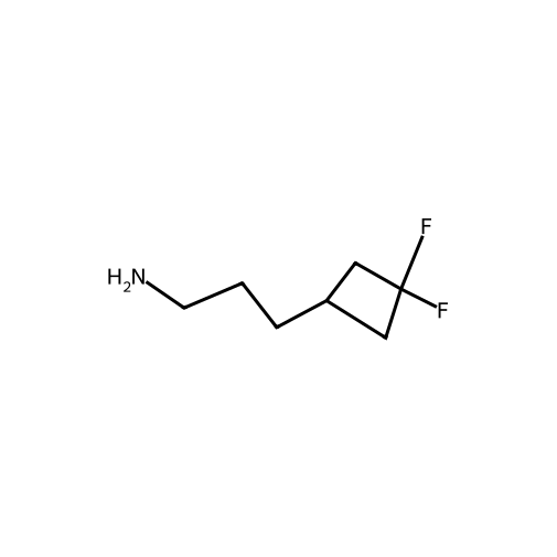 NCCCC1CC(F)(F)C1